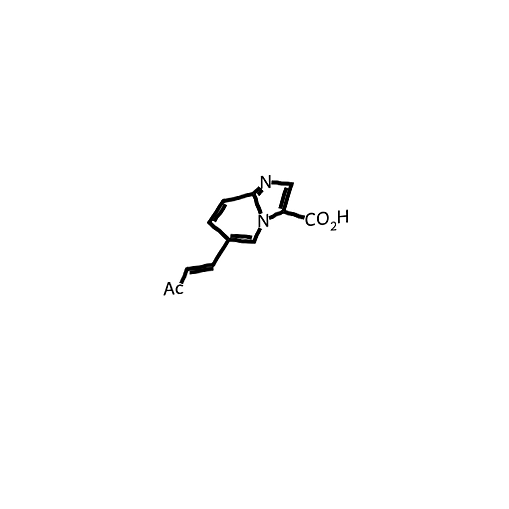 CC(=O)C=Cc1ccc2ncc(C(=O)O)n2c1